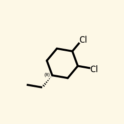 CC[C@@H]1CCC(Cl)C(Cl)C1